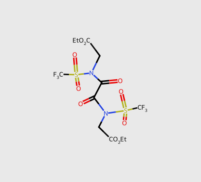 CCOC(=O)CN(C(=O)C(=O)N(CC(=O)OCC)S(=O)(=O)C(F)(F)F)S(=O)(=O)C(F)(F)F